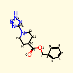 O=C(OCc1ccccc1)C1CCN(c2nn[nH]n2)CC1